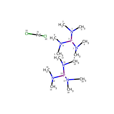 CN(C)P(N(C)C)N(C)C.CN(C)P(N(C)C)N(C)C.[Cl][Pd][Cl]